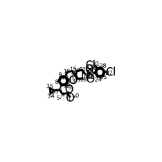 COC(=O)[C@H](C)[C@H](c1ccc2c(c1)OC1(CC2)CCN(S(=O)(=O)c2ccc(Cl)cc2Cl)CC1)C1CC1